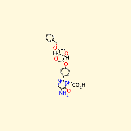 Nc1cnc(-c2ccc(O[C@@H]3CO[C@H]4[C@@H]3OC[C@H]4OCc3ccccc3)cc2)n(CC(=O)O)c1=O